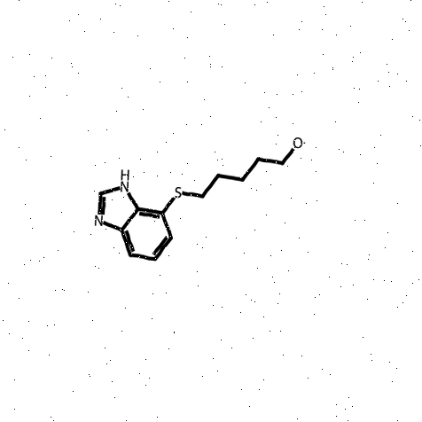 [O]CCCCCSc1cccc2nc[nH]c12